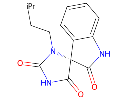 CC(C)CCN1C(=O)NC(=O)[C@@]12C(=O)Nc1ccccc12